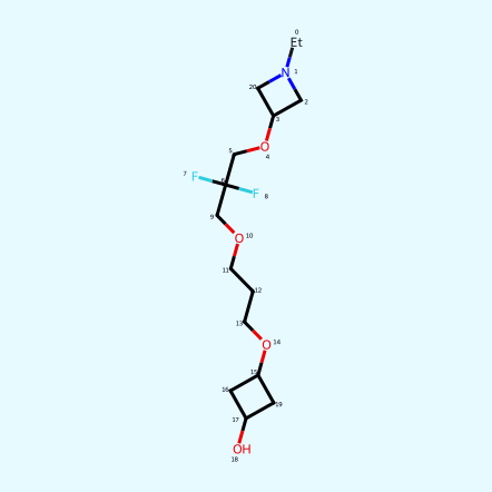 CCN1CC(OCC(F)(F)COCCCOC2CC(O)C2)C1